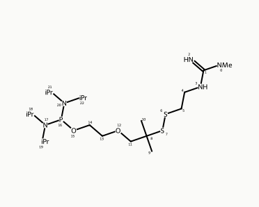 CNC(=N)NCCSSC(C)(C)COCCOP(N(C(C)C)C(C)C)N(C(C)C)C(C)C